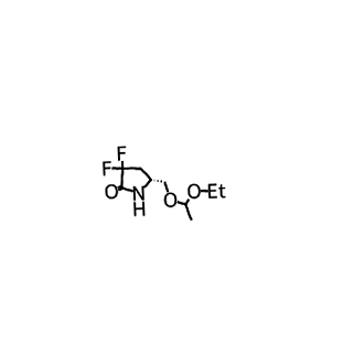 CCOC(C)OC[C@H]1CC(F)(F)C(=O)N1